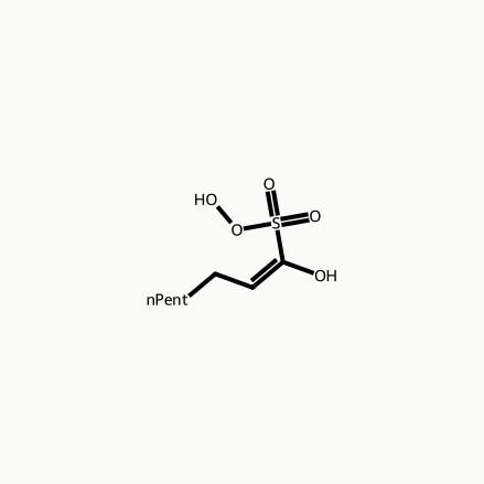 CCCCCCC=C(O)S(=O)(=O)OO